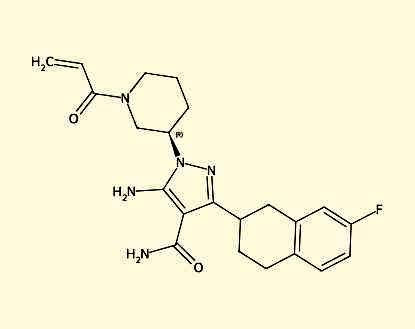 C=CC(=O)N1CCC[C@@H](n2nc(C3CCc4ccc(F)cc4C3)c(C(N)=O)c2N)C1